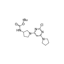 CC(C)(C)OC(=O)NC1CCN(c2cc(N3CCCC3)nc(Cl)n2)C1